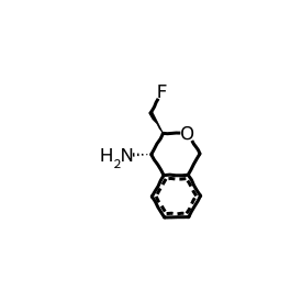 N[C@H]1c2ccccc2CO[C@@H]1CF